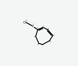 [Cl][Ir][C]1=CC=CCCCC1